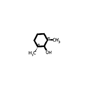 C[C@@H]1CCC[C@@H](C)C1O